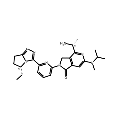 CC[C@@H]1CCc2nnc(-c3cccc(N4Cc5c(cc(N(C)C(C)C)nc5[C@@H](C)N)C4=O)n3)n21